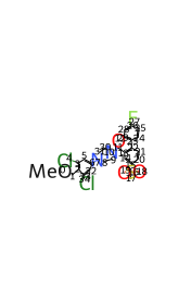 COCc1c(Cl)cc(N2CCN(C(=O)c3cc(S(C)(=O)=O)ccc3-c3ccc(F)cc3)CC2)cc1Cl